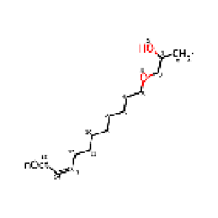 [CH2]C(O)COCCCCCCCC/C=C\CCCCCCCC